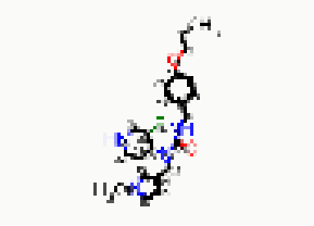 CCCOc1ccc(CNC(=O)N(Cc2ccn(C)c2)[C@H]2CCNC[C@H]2F)cc1